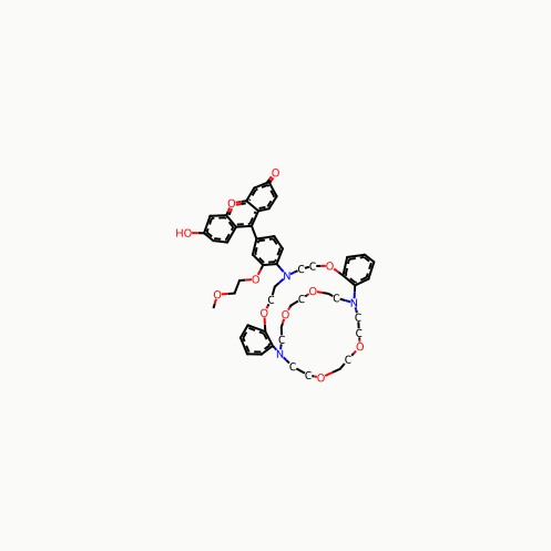 COCCOc1cc(-c2c3ccc(=O)cc-3oc3cc(O)ccc23)ccc1N1CCOc2ccccc2N2CCOCCOCCN(CCOCCOCC2)c2ccccc2OCC1